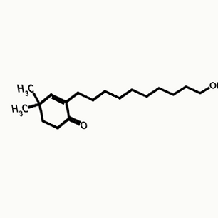 CC1(C)C=C(CCCCCCCCCCO)C(=O)CC1